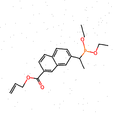 C=CCOC(=O)c1ccc2ccc(C(C)P(OCC)OCC)cc2c1